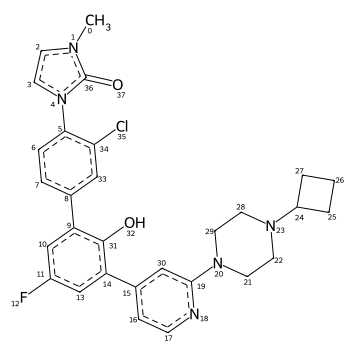 Cn1ccn(-c2ccc(-c3cc(F)cc(-c4ccnc(N5CCN(C6CCC6)CC5)c4)c3O)cc2Cl)c1=O